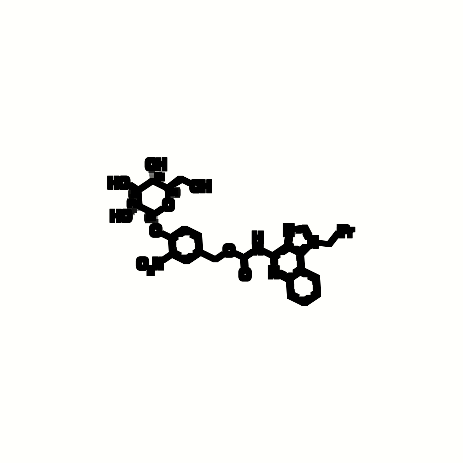 CC(C)Cn1cnc2c(NC(=O)OCc3ccc(O[C@H]4O[C@H](CO)[C@@H](O)[C@H](O)[C@H]4O)c([N+](=O)[O-])c3)nc3ccccc3c21